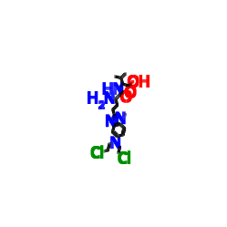 CC(C)[C@H](NC(=O)[C@@H](N)CCc1nc2cc(N(CCCl)CCCl)ccc2n1C)C(=O)O